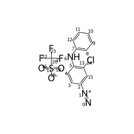 N#[N+]c1ccc(Nc2ccccc2)c(Cl)c1.O=S(=O)([O-])C(F)(F)F